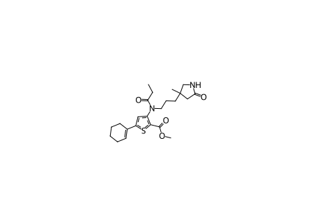 CCC(=O)N(CCCC1(C)CNC(=O)C1)c1cc(C2=CCCCC2)sc1C(=O)OC